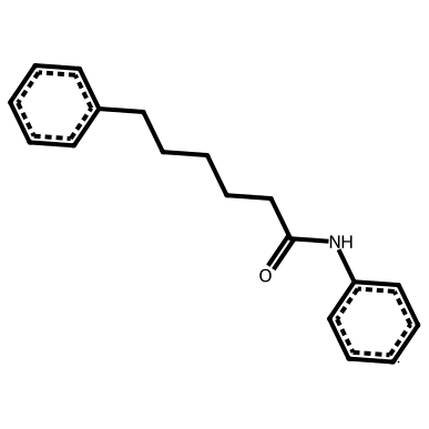 O=C(CCCCCc1ccccc1)Nc1cc[c]cc1